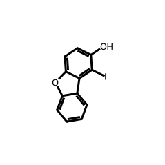 Oc1ccc2oc3ccccc3c2c1I